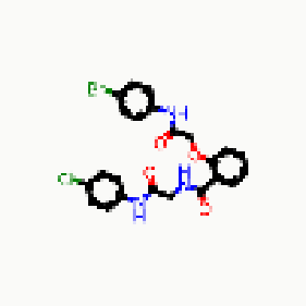 O=C(CNC(=O)c1ccccc1OCC(=O)Nc1ccc(Br)cc1)Nc1ccc(Cl)cc1